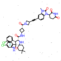 Cn1c(=O)n(C2CCC(=O)NC2=O)c2ccc(C#CC3CN(C(=O)[C@H]4C[C@H](NC(=O)[C@@H]5NC6(CCC(C)(C)CC6)[C@@]6(C(=O)Nc7cc(Cl)ccc76)[C@H]5c5cccc(Cl)c5F)C4)C3)cc21